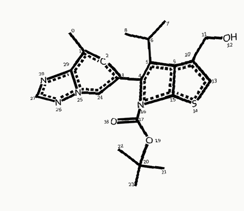 Cc1cc(-c2c(C(C)C)c3c(CO)csc3n2C(=O)OC(C)(C)C)cn2ncnc12